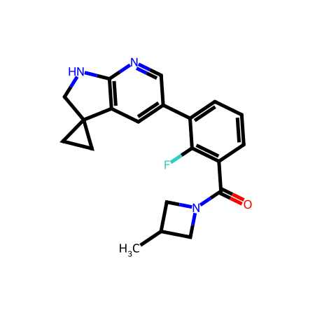 CC1CN(C(=O)c2cccc(-c3cnc4c(c3)C3(CC3)CN4)c2F)C1